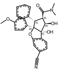 COc1ccc([C@@]23Oc4cc(C#N)ccc4[C@]2(O)[C@H](O)[C@H](C(=O)N(C)C)[C@H]3c2ccccc2)cc1